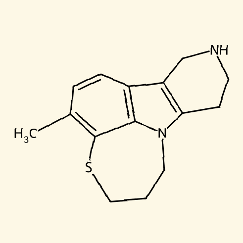 Cc1ccc2c3c(n4c2c1SCCC4)CCNC3